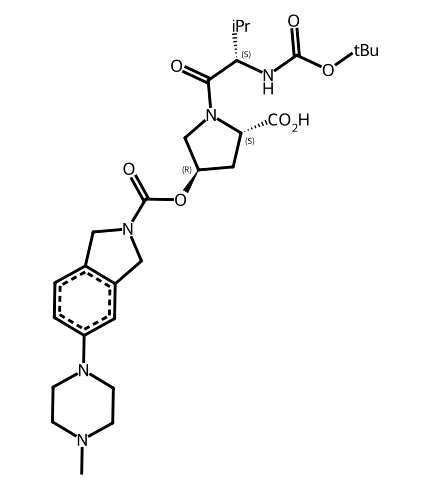 CC(C)[C@H](NC(=O)OC(C)(C)C)C(=O)N1C[C@H](OC(=O)N2Cc3ccc(N4CCN(C)CC4)cc3C2)C[C@H]1C(=O)O